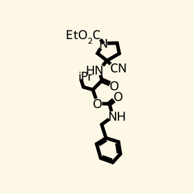 CCOC(=O)N1CCC(C#N)(NC(=O)C(CC(C)C)OC(=O)NCc2ccccc2)C1